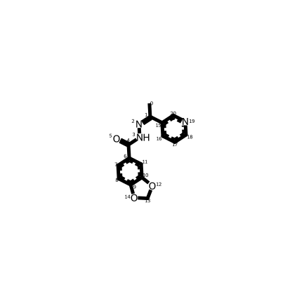 CC(=NNC(=O)c1ccc2c(c1)OCO2)c1cccnc1